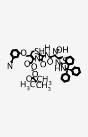 CC(C)(C)C(=O)OCOC(=O)C1=C(COc2cccc(C#N)c2)CS[C@H]2C(NC(=O)C(=NO)c3csc(NC(c4ccccc4)(c4ccccc4)c4ccccc4)n3)C(=O)N12